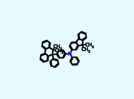 CC1(C)c2ccccc2-c2ccc(N(c3ccccc3)c3ccc(C4(c5ccccc5)c5ccccc5-c5ccccc5C4(C)C)cc3)cc21